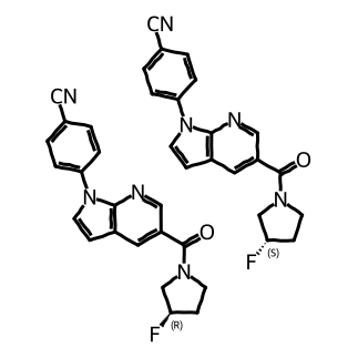 N#Cc1ccc(-n2ccc3cc(C(=O)N4CC[C@@H](F)C4)cnc32)cc1.N#Cc1ccc(-n2ccc3cc(C(=O)N4CC[C@H](F)C4)cnc32)cc1